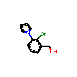 OCc1cccc(-n2cccc2)c1Br